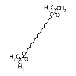 C=C(C)C(=O)OCCCCCCCCCCCCCCCOC(=O)C(=C)C